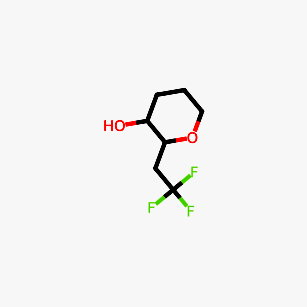 OC1CCCOC1CC(F)(F)F